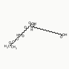 CC(C)C(=O)COCCOCCNC(=O)CCCCC(=O)CC[C@H](NC(=O)CCCCCCCCCCCCCCCCCCC(=O)O)C(=O)O